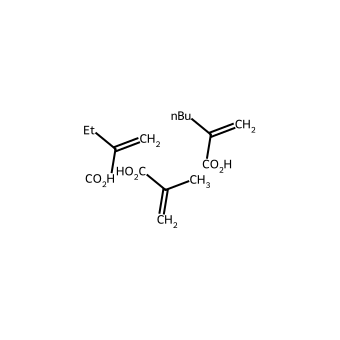 C=C(C)C(=O)O.C=C(CC)C(=O)O.C=C(CCCC)C(=O)O